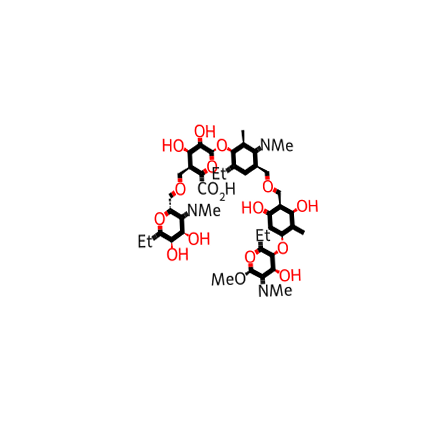 CCC1O[C@H](COC[C@@H]2C(C(=O)O)O[C@@H](O[C@@H]3C(CC)C[C@H](COC[C@@H]4C(O)C[C@@H](O[C@@H]5C(CC)O[C@H](OC)C(NC)[C@@H]5O)C(C)[C@@H]4O)C(NC)[C@@H]3C)C(O)[C@@H]2O)C(NC)[C@H](O)[C@@H]1O